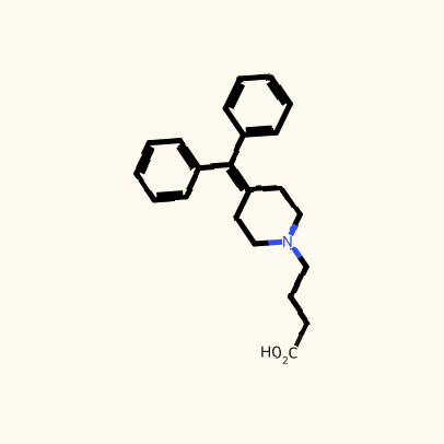 O=C(O)CCCN1CCC(=C(c2ccccc2)c2ccccc2)CC1